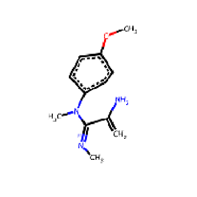 C=C(N)/C(=N\C)N(C)c1ccc(OC)cc1